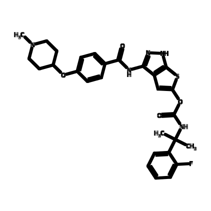 CN1CCC(Oc2ccc(C(=O)Nc3n[nH]c4sc(OC(=O)NC(C)(C)c5ccccc5F)cc34)cc2)CC1